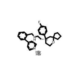 Br.Br.Fc1ccc([C@]2(CCNCc3ccccc3-c3ccncc3)CCOC3(CCCC3)C2)cc1